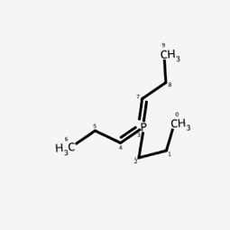 CC[CH]/P(=C\CC)=C\CC